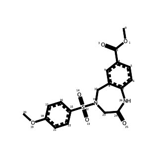 COC(=O)c1ccc2c(c1)CN(S(=O)(=O)c1ccc(OC)cc1)CC(=O)N2